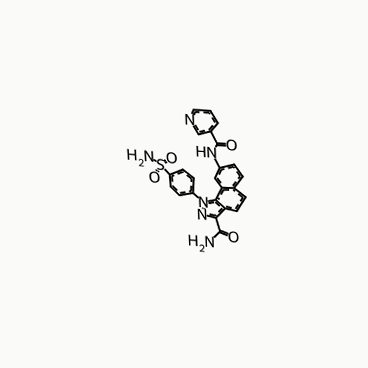 NC(=O)c1nn(-c2ccc(S(N)(=O)=O)cc2)c2c1ccc1ccc(NC(=O)c3cccnc3)cc12